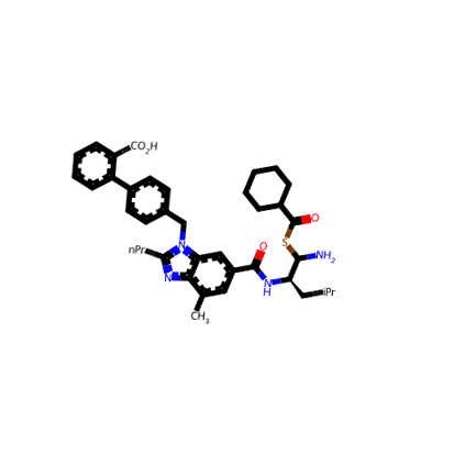 CCCc1nc2c(C)cc(C(=O)N[C@H](CC(C)C)C(N)SC(=O)C3CCCCC3)cc2n1Cc1ccc(-c2ccccc2C(=O)O)cc1